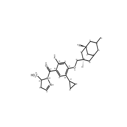 CC1CC2C[C@@H](C1)C[C@](C)(COc1cc(F)c(C(=O)N3N=CCC3C(=O)O)cc1C1CC1)C2